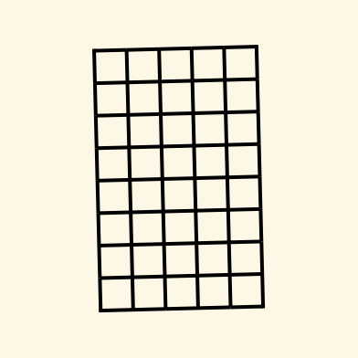 C1C2C3C4C5CC6C7C8C9C%10C%11C%12CC%13C%14C%15C%16CC%17C%18C%19C%20C%21C%22C1C21C32C43C56C74C85C96C%107C%118C%13%12C%149C%15%10C%16%17C%18%11C%19%12C%20%13C%21%14C%221C21C34C52C%141C%131C%123C%10%11C98C73C621